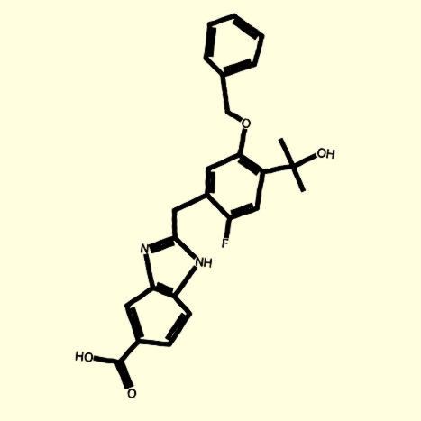 CC(C)(O)c1cc(F)c(Cc2nc3cc(C(=O)O)ccc3[nH]2)cc1OCc1ccccc1